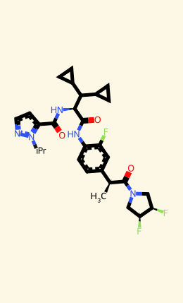 CC(C)n1nccc1C(=O)N[C@H](C(=O)Nc1ccc([C@H](C)C(=O)N2C[C@@H](F)[C@@H](F)C2)cc1F)C(C1CC1)C1CC1